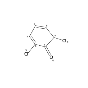 O=C1C(Cl)=CC=CC1Cl